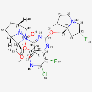 CC(C)(C)OC(=O)N1[C@@H]2CC[C@H]1[C@H]1COc3nc(Cl)c(F)c4nc(OC[C@@]56CCCN5C[C@H](F)C6)nc(c34)N1C2